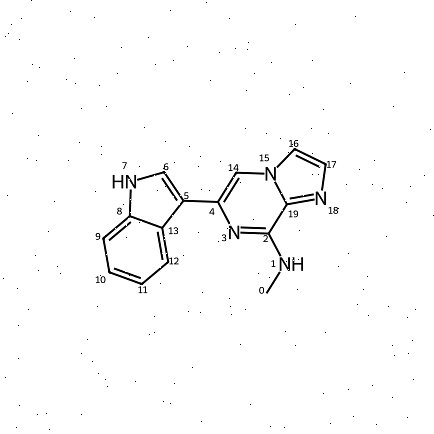 CNc1nc(-c2c[nH]c3ccccc23)cn2ccnc12